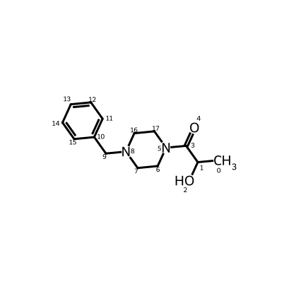 CC(O)C(=O)N1CCN(Cc2ccccc2)CC1